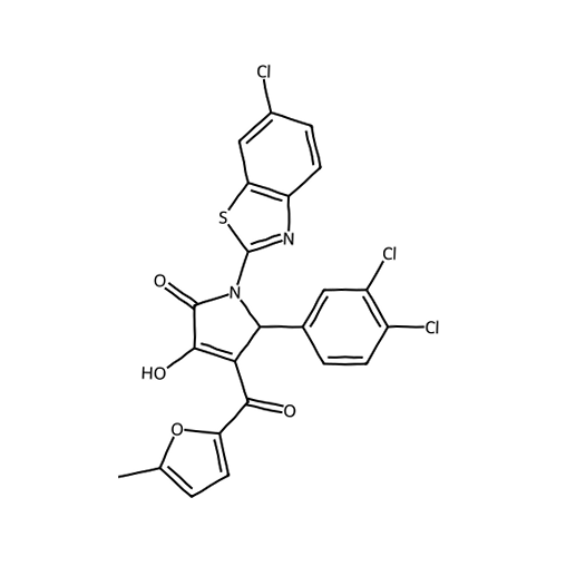 Cc1ccc(C(=O)C2=C(O)C(=O)N(c3nc4ccc(Cl)cc4s3)C2c2ccc(Cl)c(Cl)c2)o1